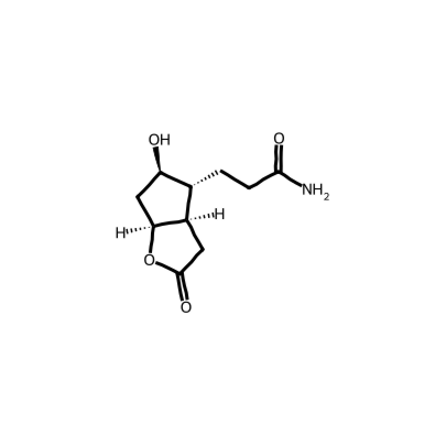 NC(=O)CC[C@@H]1[C@H]2CC(=O)O[C@H]2C[C@H]1O